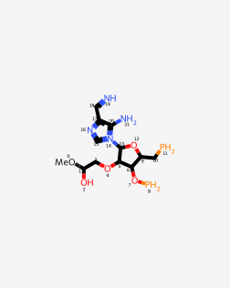 COC(O)COC1C(OP)C(CP)OC1n1cnc(C=N)c1N